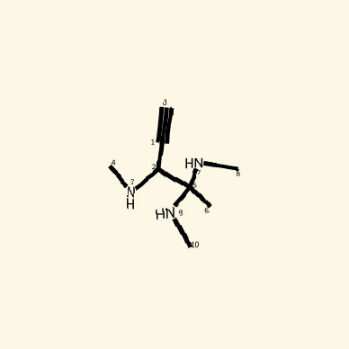 [C]#CC(NC)C(C)(NC)NC